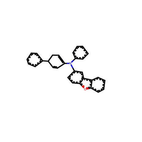 C1=CC(c2ccccc2)CC=C1N(c1ccccc1)c1ccc2oc3ccccc3c2c1